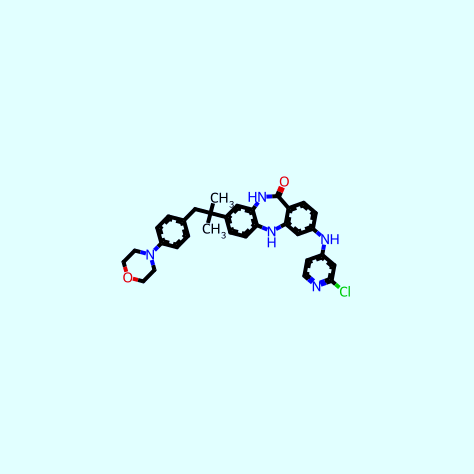 CC(C)(Cc1ccc(N2CCOCC2)cc1)c1ccc2c(c1)NC(=O)c1ccc(Nc3ccnc(Cl)c3)cc1N2